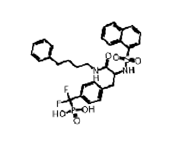 O=C(NCCCCc1ccccc1)C(Cc1ccc(C(F)(F)P(=O)(O)O)cc1)NS(=O)(=O)c1cccc2ccccc12